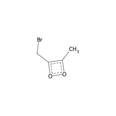 Cc1ooc1CBr